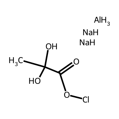 CC(O)(O)C(=O)OCl.[AlH3].[NaH].[NaH]